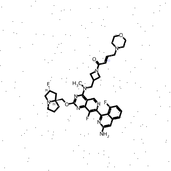 CN(CC1CN(C(=O)/C=C/CN2CCOCC2)C1)c1nc(OC[C@@]23CCCN2C[C@H](F)C3)nc2c(F)c(-c3nc(N)cc4cccc(F)c34)ncc12